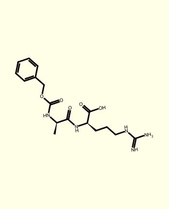 C[C@@H](NC(=O)OCc1ccccc1)C(=O)N[C@H](CCCNC(=N)N)C(=O)O